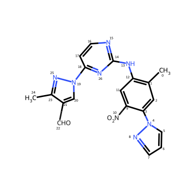 Cc1cc(-n2cccn2)c([N+](=O)[O-])cc1Nc1nccc(-n2cc(C=O)c(C)n2)n1